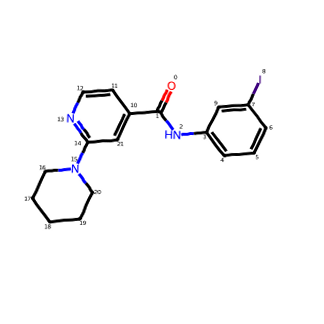 O=C(Nc1cccc(I)c1)c1ccnc(N2CCCCC2)c1